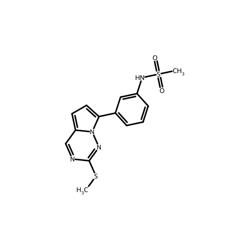 CSc1ncc2ccc(-c3cccc(NS(C)(=O)=O)c3)n2n1